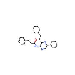 O=C(CCc1ccccc1)Nc1ncc(-c2ccccc2)nc1CCC1CCCCC1